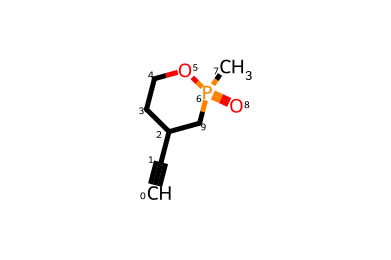 C#CC1CCOP(C)(=O)C1